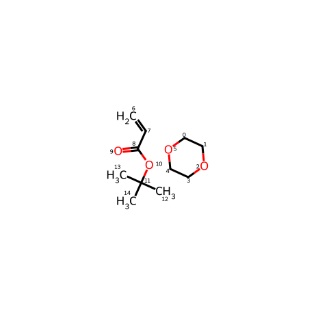 C1COCCO1.C=CC(=O)OC(C)(C)C